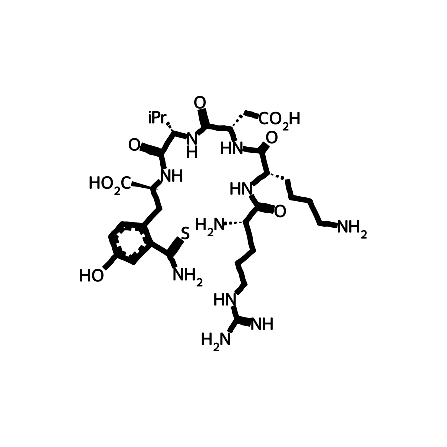 CC(C)[C@H](NC(=O)[C@H](CC(=O)O)NC(=O)[C@H](CCCCN)NC(=O)[C@@H](N)CCCNC(=N)N)C(=O)N[C@@H](Cc1ccc(O)cc1C(N)=S)C(=O)O